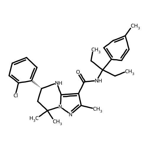 CCC(CC)(NC(=O)c1c(C)nn2c1N[C@@H](c1ccccc1Cl)CC2(C)C)c1ccc(C)cc1